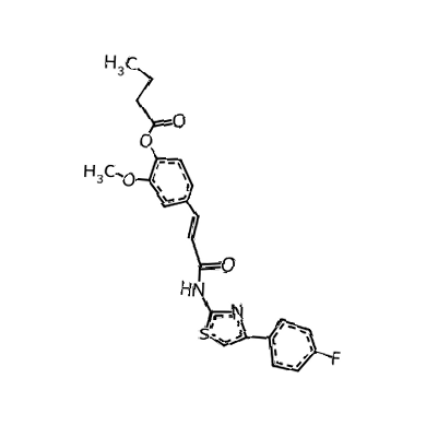 CCCC(=O)Oc1ccc(/C=C/C(=O)Nc2nc(-c3ccc(F)cc3)cs2)cc1OC